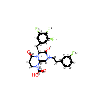 O=C1[C@H](Cc2cc(F)c(F)c(F)c2)N2C(=O)CCN(C(=O)O)C2=CN1CCc1cccc(F)c1